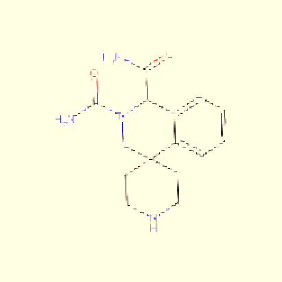 NC(=O)C1c2ccccc2C2(CCNCC2)CN1C(N)=O